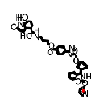 O=C(NC(c1ccccc1)c1cccc(OCc2nc(-c3ccc(C(=O)OCCCCNCC(O)c4ccc(O)c5[nH]c(=O)ccc45)cc3)no2)c1)OC1CN2CCC1CC2